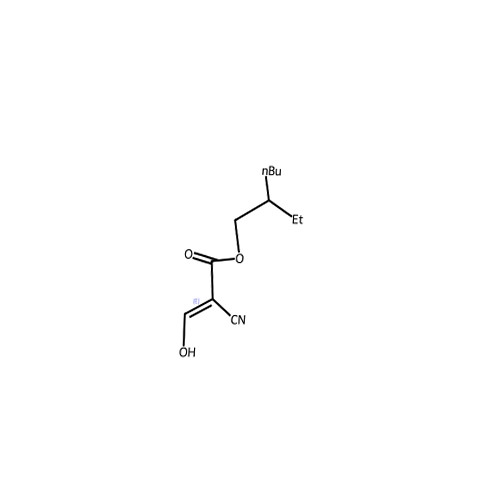 CCCCC(CC)COC(=O)/C(C#N)=C/O